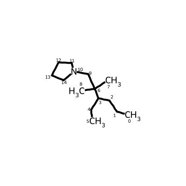 CCCC(CC)C(C)(C)CN1CCCC1